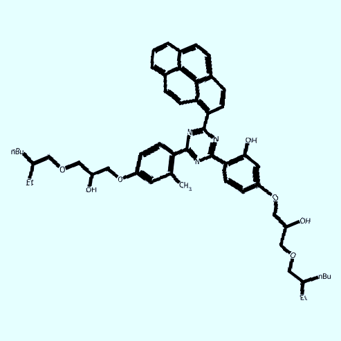 CCCCC(CC)COCC(O)COc1ccc(-c2nc(-c3ccc(OCC(O)COCC(CC)CCCC)cc3O)nc(-c3ccc4ccc5cccc6ccc3c4c56)n2)c(C)c1